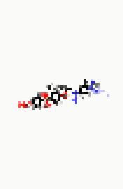 CCCCCCCCCCC(CNc1ccc(NN)c([N+](=O)[O-])c1)Oc1ccc(S(=O)(=O)c2ccc(O)cc2)cc1